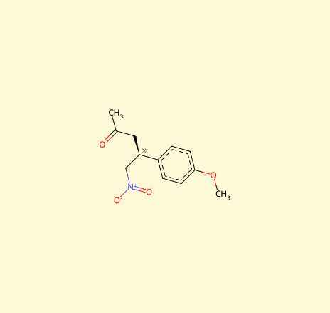 COc1ccc([C@H](CC(C)=O)C[N+](=O)[O-])cc1